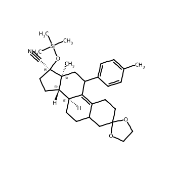 Cc1ccc(C2C[C@@]3(C)[C@@H](CC[C@@]3(C#N)O[Si](C)(C)C)[C@@H]3CCC4CC5(CCC4=C23)OCCO5)cc1